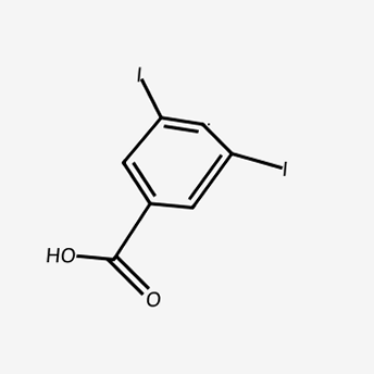 O=C(O)c1cc(I)[c]c(I)c1